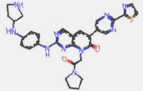 O=C(Cn1c(=O)c(-c2cnc(-c3nccs3)nc2)cc2cnc(Nc3ccc(NC4CCNC4)cc3)nc21)N1CCCC1